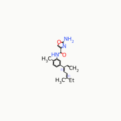 C=C/C(=C\C=C(/C)CC)c1ccc(C)c(NC(=O)c2coc(N)n2)c1